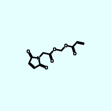 C=CC(=O)OCOC(=O)CN1C(=O)C=CC1=O